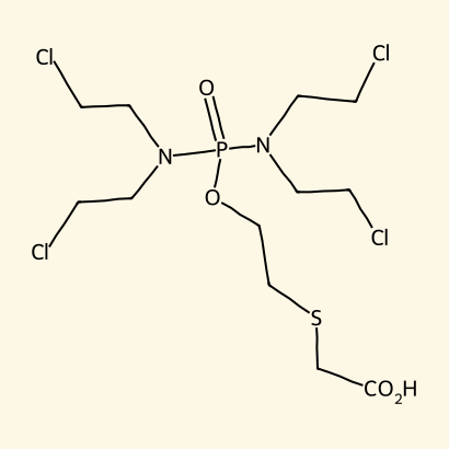 O=C(O)CSCCOP(=O)(N(CCCl)CCCl)N(CCCl)CCCl